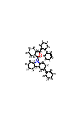 c1cccc(-c2ccccc2-c2oc(-n3c4ccccc4c4cc(-c5ccccc5)ccc43)c3c2CCC=C3)c#1